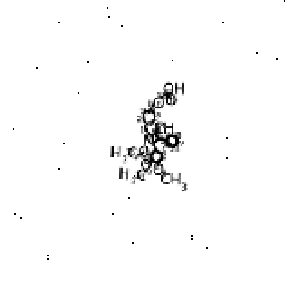 CCOc1ccc(-c2nn(CC3CCC(COCC(=O)O)CC3)c(C)c2-c2ccccc2)c(OCC)c1OCC